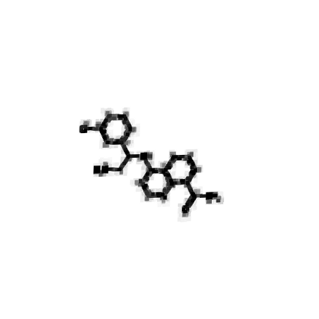 NCC(Nc1ncnc2c(C(N)=O)cccc12)c1cccc(Cl)c1